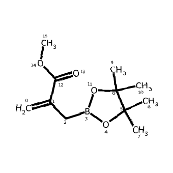 C=C(CB1OC(C)(C)C(C)(C)O1)C(=O)OC